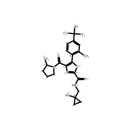 Cc1cc(C(O)(C(F)(F)F)C(F)(F)F)ccc1-c1sc(C(=O)NCC2(O)CC2)nc1C(=O)N1CCCC1C